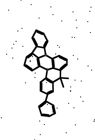 CC1(C)c2cc(-c3ccccc3)ccc2B2c3c(cccc31)-n1c3ccccc3c3cccc2c31